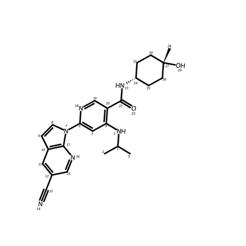 CC(C)Nc1cc(-n2ccc3cc(C#N)cnc32)ncc1C(=O)N[C@H]1CC[C@@](C)(O)CC1